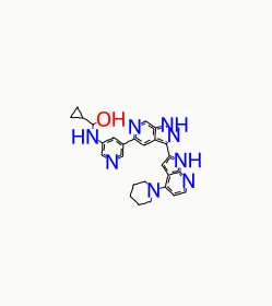 OC(Nc1cncc(-c2cc3c(-c4cc5c(N6CCCCC6)ccnc5[nH]4)n[nH]c3cn2)c1)C1CC1